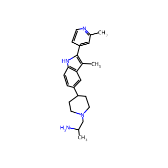 Cc1cc(-c2[nH]c3ccc(C4CCN(CC(C)N)CC4)cc3c2C)ccn1